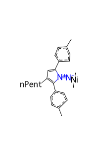 CCCCCC1=C(c2ccc(C)cc2)[N+](=[N-])C(c2ccc(C)cc2)=C1.[CH3][Ni][CH3]